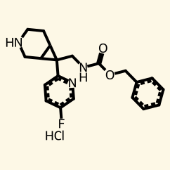 Cl.O=C(NCC1(c2ccc(F)cn2)C2CCNCC21)OCc1ccccc1